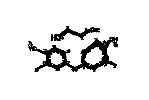 CCCCCCCCCCCCO.Cc1cc(Sc2ccc(O)c(C)c2)ccc1O